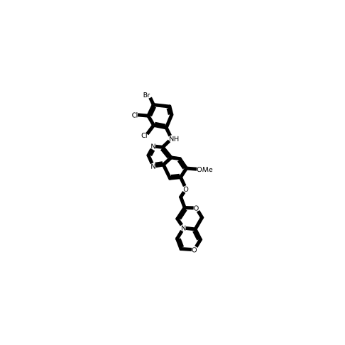 COc1cc2c(Nc3ccc(Br)c(Cl)c3Cl)ncnc2cc1OCC1=CN2C=COC=C2CO1